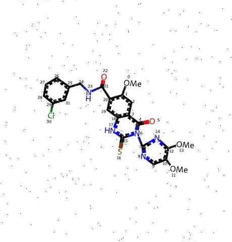 COc1cc2c(=O)n(-c3ncc(OC)c(OC)n3)c(=S)[nH]c2cc1C(=O)NCc1cccc(Cl)c1